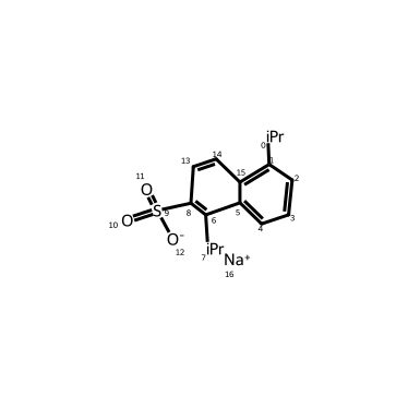 CC(C)c1cccc2c(C(C)C)c(S(=O)(=O)[O-])ccc12.[Na+]